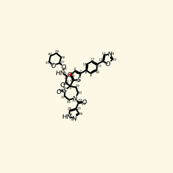 O=C(CC1(c2ccc(-c3ccc(-c4cnco4)cc3)s2)CCN(C(=O)c2cn[nH]c2)CCS1(=O)=O)NOC1CCCCO1